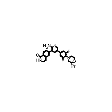 CC(C)[C@H]1CN(c2c(F)cc(-c3cnc(N)c(-c4ccc5c(c4)CCNC5=O)c3)cc2F)CCO1